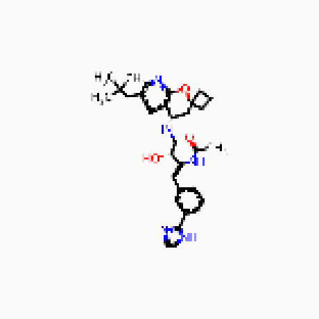 CC(=O)N/C(=C\c1cccc(-c2ncc[nH]2)c1)[C@H](O)CN[C@H]1CC2(CCC2)Oc2ncc(CC(C)(C)C)cc21